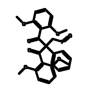 COc1cccc(OC)c1C(=O)C(CP=O)(C(=O)c1c(OC)cccc1OC)c1ccccc1